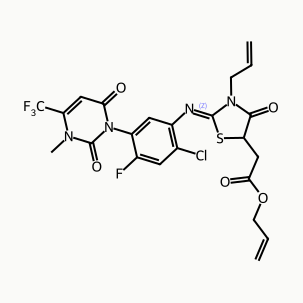 C=CCOC(=O)CC1S/C(=N\c2cc(-n3c(=O)cc(C(F)(F)F)n(C)c3=O)c(F)cc2Cl)N(CC=C)C1=O